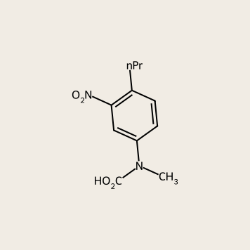 CCCc1ccc(N(C)C(=O)O)cc1[N+](=O)[O-]